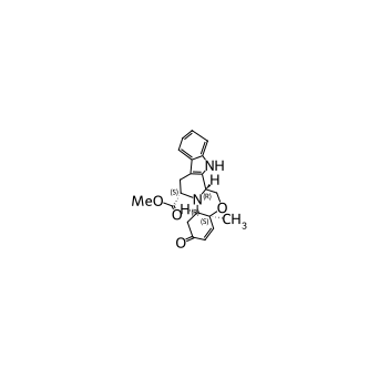 COC(=O)[C@@H]1Cc2c([nH]c3ccccc23)[C@@H]2CO[C@@]3(C)C=CC(=O)C[C@H]3N12